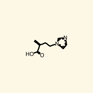 C=C(CCn1ccnc1)C(=O)O